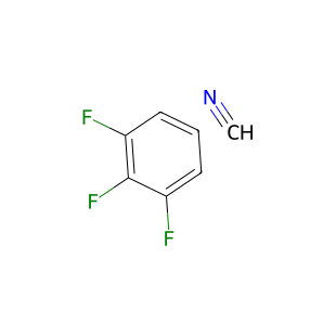 C#N.Fc1cccc(F)c1F